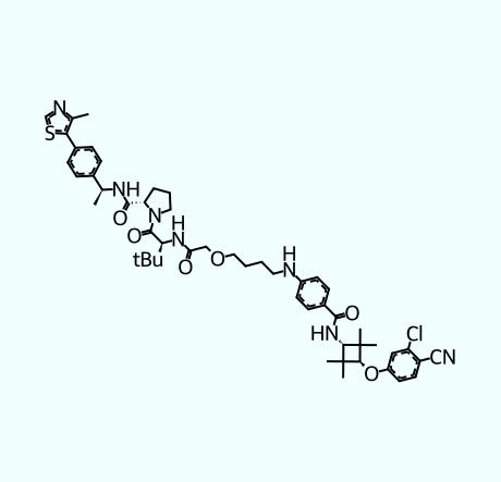 Cc1ncsc1-c1ccc([C@H](C)NC(=O)[C@@H]2CCCN2C(=O)[C@@H](NC(=O)COCCCCNc2ccc(C(=O)N[C@H]3C(C)(C)[C@H](Oc4ccc(C#N)c(Cl)c4)C3(C)C)cc2)C(C)(C)C)cc1